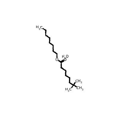 CCCCCCCCOC(=O)CCCCCC(C)(C)C.O